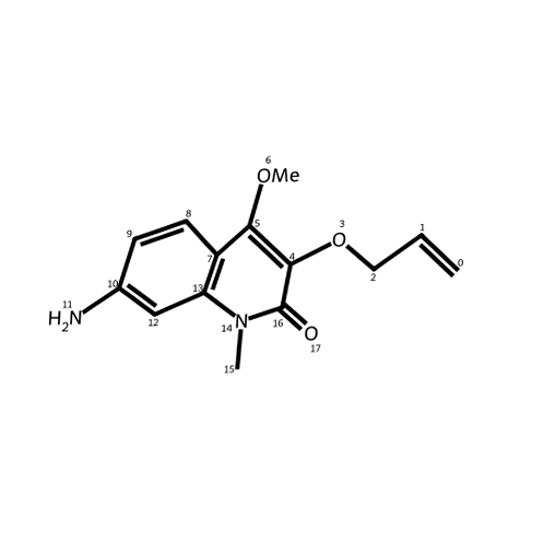 C=CCOc1c(OC)c2ccc(N)cc2n(C)c1=O